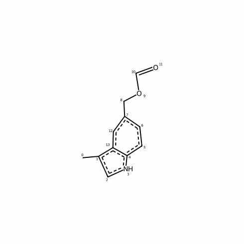 Cc1c[nH]c2ccc(COC=O)cc12